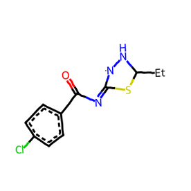 CCC1N[N]C(=NC(=O)c2ccc(Cl)cc2)S1